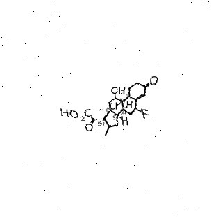 CC1C[C@H]2[C@@H]3CC(F)C4=CC(=O)CC[C@]4(C)[C@@]3(Cl)C(O)C[C@]2(C)[C@H]1C(=O)C(=O)O